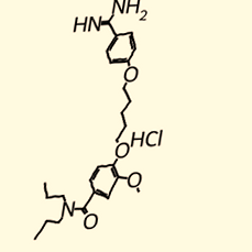 CCCN(CCC)C(=O)c1ccc(OCCCCCOc2ccc(C(=N)N)cc2)c(OC)c1.Cl